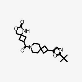 CC(C)(C)c1ncc(C2CC3(CCN(C(=O)C4CC5(COC(=O)N5)C4)CC3)C2)o1